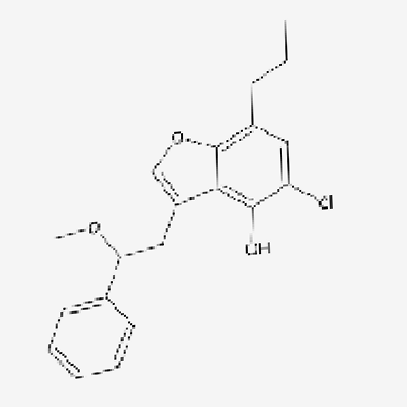 CCCc1cc(Cl)c(O)c2c(CC(OC)c3ccccc3)coc12